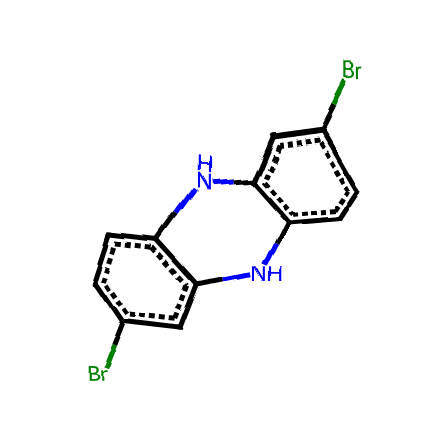 Brc1ccc2c(c1)Nc1ccc(Br)cc1N2